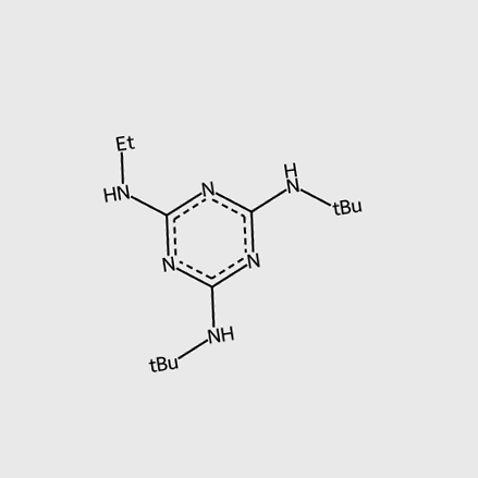 CCNc1nc(NC(C)(C)C)nc(NC(C)(C)C)n1